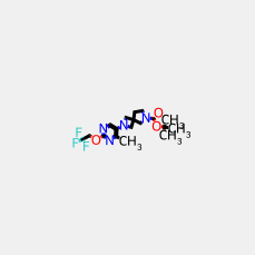 Cc1nc(OCC(F)(F)F)ncc1N1CC2(CCN(C(=O)OC(C)(C)C)C2)C1